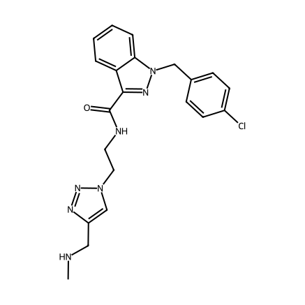 CNCc1cn(CCNC(=O)c2nn(Cc3ccc(Cl)cc3)c3ccccc23)nn1